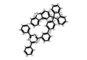 c1ccc(-c2nc(-c3ccccc3)nc(-c3cccc(-c4ccc(C5(c6ccc7sc8ccccc8c7c6)c6ccccc6-c6ccccc65)cc4)c3)n2)cc1